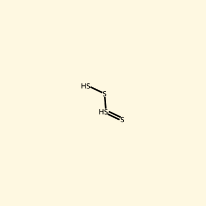 S=[SH]SS